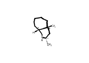 C[C@H]1C[C@@]2(C)CCCC[C@H]2N1